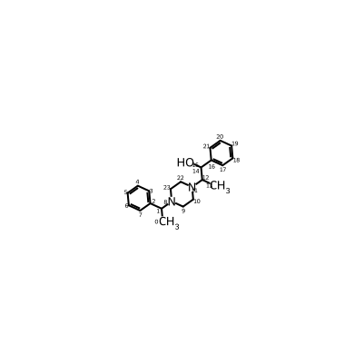 CC(c1ccccc1)N1CCN(C(C)C(O)c2ccccc2)CC1